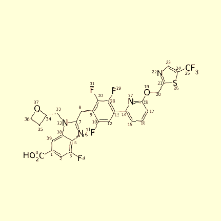 O=C(O)c1cc(F)c2nc(Cc3c(F)cc(-c4cccc(OCc5ncc(C(F)(F)F)s5)n4)c(F)c3F)n(C[C@@H]3CCO3)c2c1